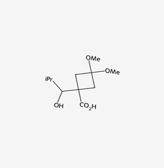 COC1(OC)CC(C(=O)O)(C(O)C(C)C)C1